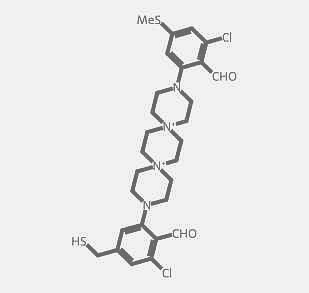 CSc1cc(Cl)c(C=O)c(N2CC[N+]3(CC2)CC[N+]2(CCN(c4cc(CS)cc(Cl)c4C=O)CC2)CC3)c1